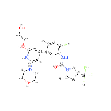 Cc1cc(F)c(NC(=O)N2C[C@H](C(F)(F)F)C[C@@H]2C)cc1-c1cc(OCCO)nc(N2CCOCC2)c1